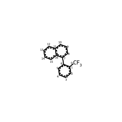 FC(F)(F)c1c[c]ccc1-c1cccc2ccccc12